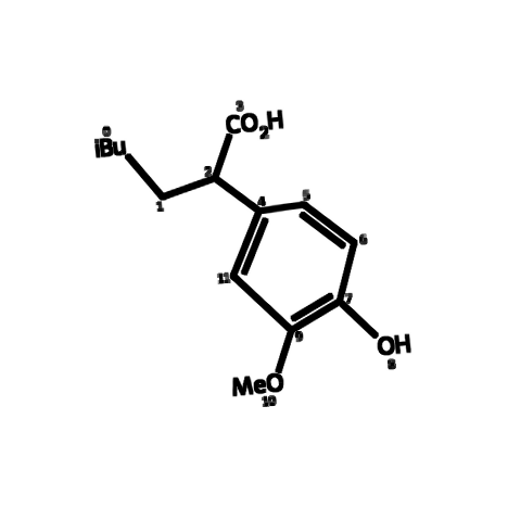 CCC(C)CC(C(=O)O)c1ccc(O)c(OC)c1